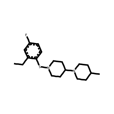 CCc1cc(F)ccc1SN1CCC(N2CCC(C)CC2)CC1